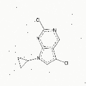 Clc1ncc2c(Cl)cn(C3CC3)c2n1